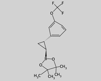 CC1(C)OB([C@H]2C[C@@H]2c2cccc(OC(F)(F)F)c2)OC1(C)C